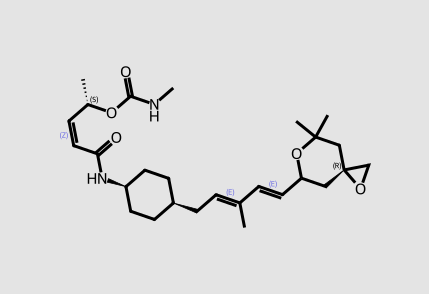 CNC(=O)O[C@@H](C)/C=C\C(=O)N[C@H]1CC[C@@H](C/C=C(C)/C=C/C2C[C@]3(CO3)CC(C)(C)O2)CC1